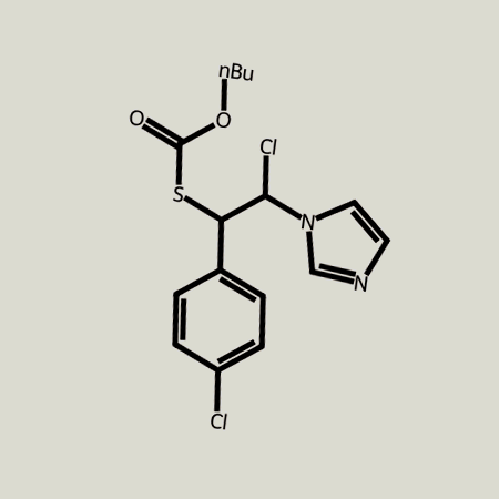 CCCCOC(=O)SC(c1ccc(Cl)cc1)C(Cl)n1ccnc1